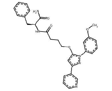 COc1cccc(-n2nc(-c3cccnc3)cc2OCCCC(=O)N[C@@H](Cc2ccccc2)C(N)=O)c1